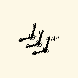 CCOCCCCCCOP(=O)([O-])OCCCCCCOCC.CCOCCCCCCOP(=O)([O-])OCCCCCCOCC.CCOCCCCCCOP(=O)([O-])OCCCCCCOCC.[Al+3]